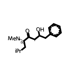 CN[C@@H](CC(C)C)C(=O)[CH]C(O)Cc1ccccc1